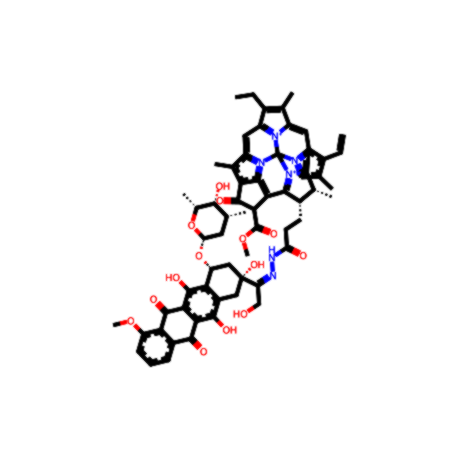 C=Cc1c(C)c2n3c1C=C1C(C)=C(CC)C4=[N+]1C31n3c(c(C)c5c3=C(C3=[N+]1C(=C2)[C@H](C)[C@@H]3CCC(=O)N/N=C(/CO)[C@@]1(O)Cc2c(O)c3c(c(O)c2[C@H](O[C@H]2C[C@@H](C)[C@@H](O)[C@@H](C)O2)C1)C(=O)c1c(OC)cccc1C3=O)C(C(=O)OC)C5=O)=C4